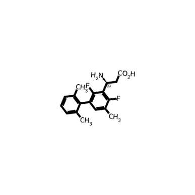 Cc1cc(-c2c(C)cccc2C)c(F)c([C@@H](N)CC(=O)O)c1F